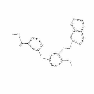 CNC(=O)c1cncc(Nc2cnc(NC)c(NCc3ccc4ncccc4c3)n2)c1